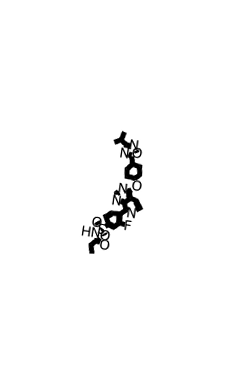 CCC(=O)NS(=O)(=O)c1ccc(-c2nccc3c(OC4CCC(c5nc(C(C)C)no5)CC4)ncnc23)c(F)c1